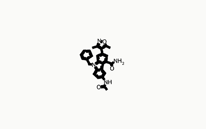 CC(=O)Nc1ccc2c(c1)c1c(C(N)=O)cc(-c3c(C)noc3C)cc1n2Cc1ccccc1